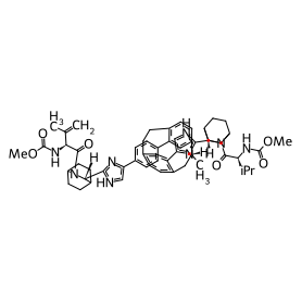 C=C(C)[C@H](NC(=O)OC)C(=O)N1C2CCC(CC2)[C@H]1c1nc(-c2ccc(-c3cc4ccc3CCc3ccc(c(-c5c[nH]c([C@@H]6C7CCC(CC7)N6C(=O)[C@@H](NC(=O)OC)C(C)C)n5)c3)C[C@H]4C)cc2)c[nH]1